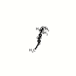 CCCCCCCOc1ccc(C(=O)Oc2ccc(CC(N)C(=O)OC(C)(C)C)cc2)cc1